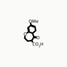 COC1=CCC2C(=O)C(C(=O)O)CCOC2=C1